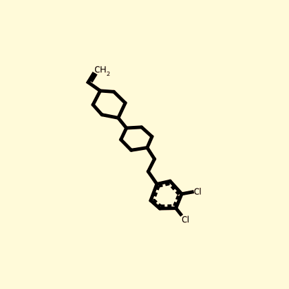 C=CC1CCC(C2CCC(CCc3ccc(Cl)c(Cl)c3)CC2)CC1